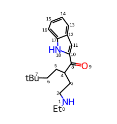 CCNCCC(CCC(C)(C)C)C(=O)c1cc2ccccc2[nH]1